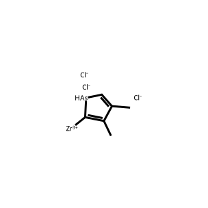 CC1=C[AsH][C]([Zr+3])=C1C.[Cl-].[Cl-].[Cl-]